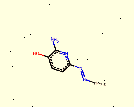 CCCCC/N=N/c1ccc(O)c(N)n1